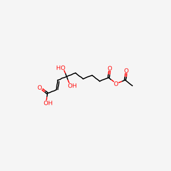 CC(=O)OC(=O)CCCCC(O)(O)C=CC(=O)O